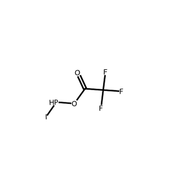 O=C(OPI)C(F)(F)F